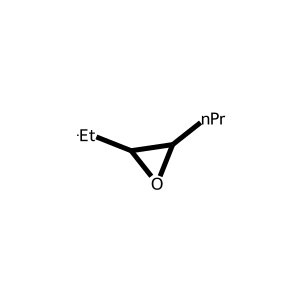 C[CH]C1OC1CCC